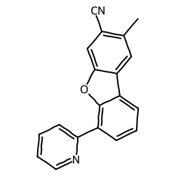 Cc1cc2c(cc1C#N)oc1c(-c3ccccn3)cccc12